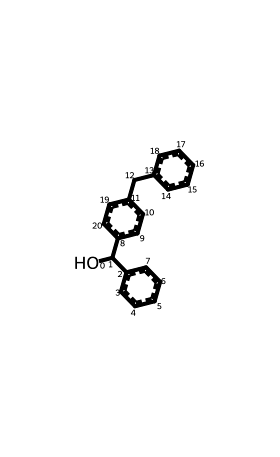 OC(c1ccccc1)c1ccc(Cc2ccccc2)cc1